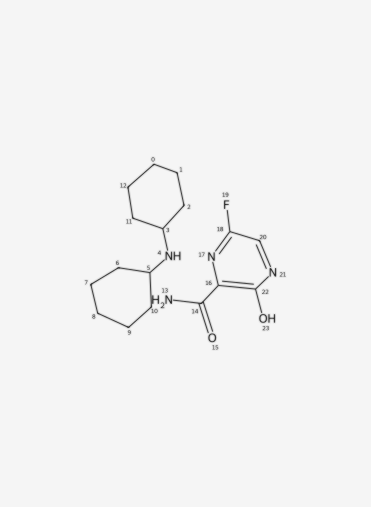 C1CCC(NC2CCCCC2)CC1.NC(=O)c1nc(F)cnc1O